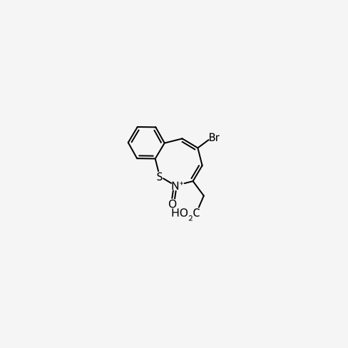 O=C(O)C/C1=C/C(Br)=C\c2ccccc2S[N+]1=O